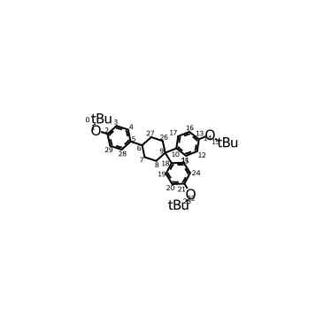 CC(C)(C)Oc1ccc(C2CCC(c3ccc(OC(C)(C)C)cc3)(c3ccc(OC(C)(C)C)cc3)CC2)cc1